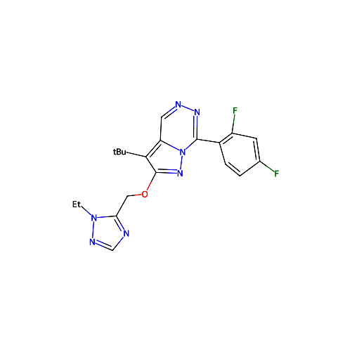 CCn1ncnc1COc1nn2c(-c3ccc(F)cc3F)nncc2c1C(C)(C)C